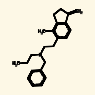 C=C1CCc2c1ccc(CCN(CCC)Cc1ccccc1)c2C